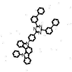 c1ccc(-c2cccc(-c3nc(-c4ccc(-n5c6ccccc6c6c5ccc5c7ccccc7n(-c7ccccc7)c56)cc4)nc(-c4cccc(-c5ccccc5)c4)n3)c2)cc1